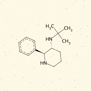 CC(C)(C)N[C@@H]1CCCN[C@H]1c1ccccc1